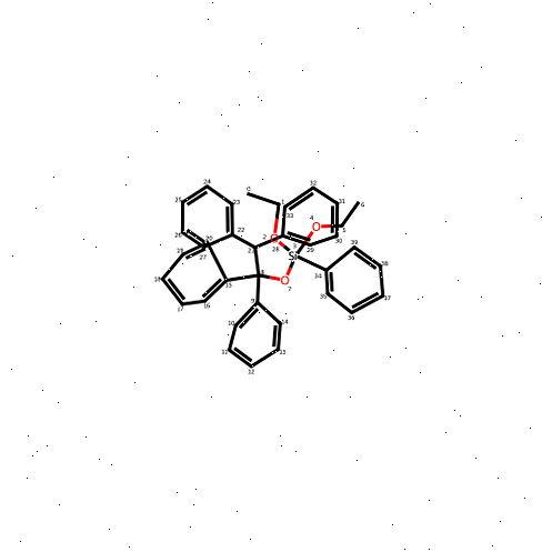 CCO[Si](OCC)(OC(c1ccccc1)(c1ccccc1)C(c1ccccc1)c1ccccc1)c1ccccc1